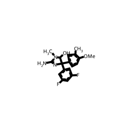 COc1ccc(C2(c3cc(F)cc(F)c3)N=C(N)N(C)C2O)cc1C